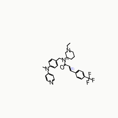 CCN1CCC[C@H](N(Cc2ccc(N(C)c3ccncc3)cc2)C(=O)/C=C/c2ccc(C(F)(F)F)cc2)C1